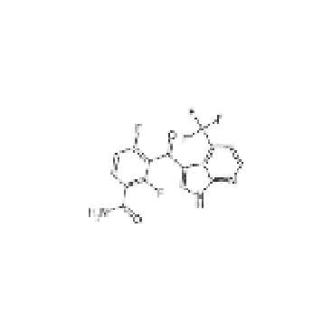 NC(=O)c1ccc(F)c(C(=O)c2c[nH]c3nccc(C(F)(F)F)c23)c1F